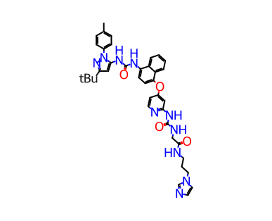 Cc1ccc(-n2nc(C(C)(C)C)cc2NC(=O)Nc2ccc(Oc3ccnc(NC(=O)NCC(=O)NCCCn4ccnc4)c3)c3ccccc23)cc1